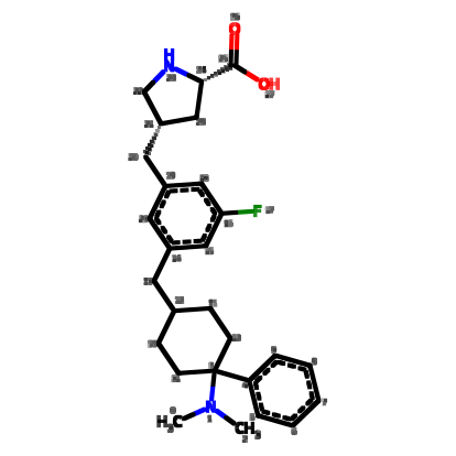 CN(C)C1(c2ccccc2)CCC(Cc2cc(F)cc(C[C@@H]3CN[C@H](C(=O)O)C3)c2)CC1